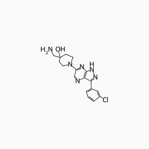 NCC1(O)CCN(c2cnc3c(-c4cccc(Cl)c4)n[nH]c3n2)CC1